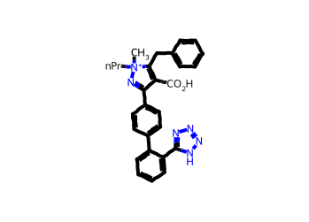 CCC[N+]1(C)N=C(c2ccc(-c3ccccc3-c3nnn[nH]3)cc2)C(C(=O)O)=C1Cc1ccccc1